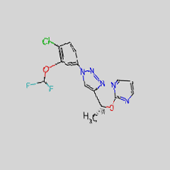 C[C@@H](Oc1ncccn1)c1cn(-c2ccc(Cl)c(OC(F)F)c2)nn1